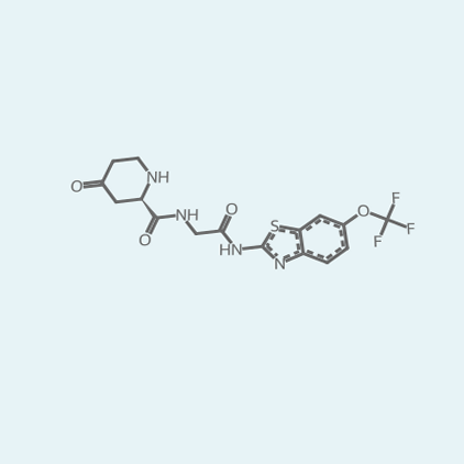 O=C1CCN[C@@H](C(=O)NCC(=O)Nc2nc3ccc(OC(F)(F)F)cc3s2)C1